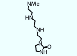 CNCCNCCNCCN1CCNC1=O